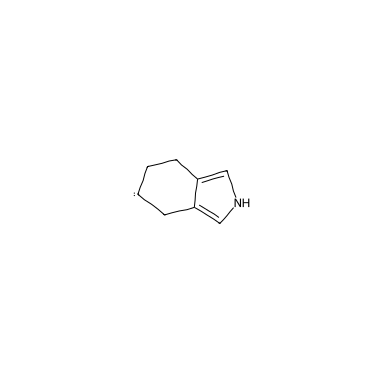 [C]1CCc2c[nH]cc2C1